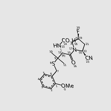 COc1ccccc1CSC(C)(C)[C@H](NC(=O)O)C(=O)N1C[C@@H](F)C[C@H]1C#N